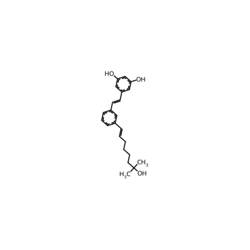 CC(C)(O)CCCCC=Cc1cccc(C=Cc2cc(O)cc(O)c2)c1